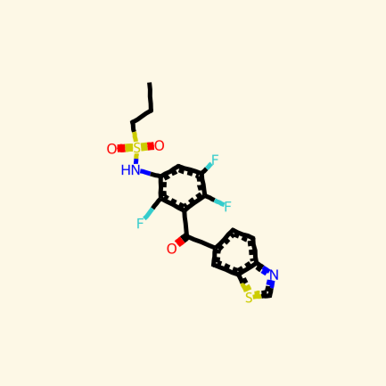 CCCS(=O)(=O)Nc1cc(F)c(F)c(C(=O)c2ccc3ncsc3c2)c1F